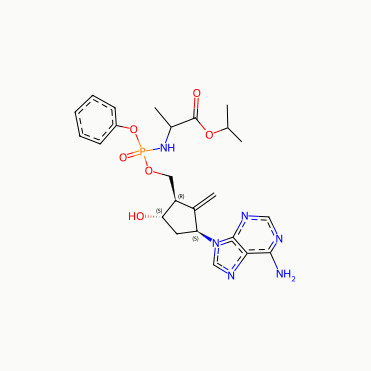 C=C1[C@H](COP(=O)(NC(C)C(=O)OC(C)C)Oc2ccccc2)[C@@H](O)C[C@@H]1n1cnc2c(N)ncnc21